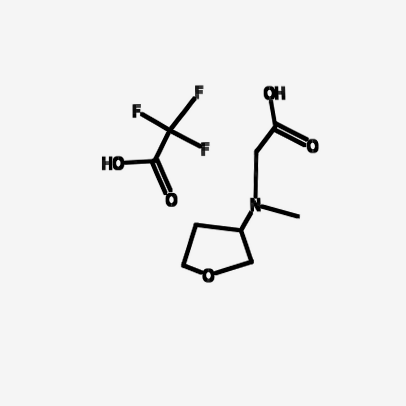 CN(CC(=O)O)C1CCOC1.O=C(O)C(F)(F)F